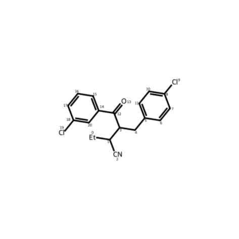 CCC(C#N)C(Cc1ccc(Cl)cc1)C(=O)c1cccc(Cl)c1